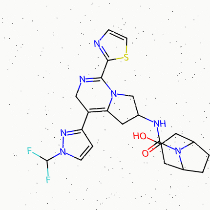 O=C(NC1CC2=C(c3ccn(C(F)F)n3)CN=C(c3nccs3)N2C1)N1C2CCC1CC(O)C2